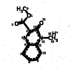 COC(=O)c1nc2ccccc2n(C)c1=O.[H+]